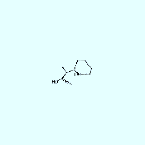 CC(C(=O)O)C1CCCCN1